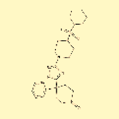 O=C1CCC(c2ccccc2)(c2nsc(N3CCN(S(=O)(=O)C4CCCCC4)CC3)n2)CC1